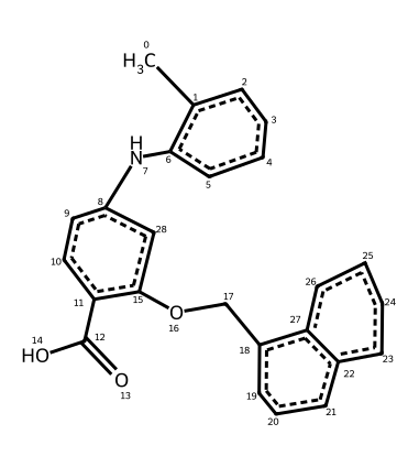 Cc1ccccc1Nc1ccc(C(=O)O)c(OCc2cccc3ccccc23)c1